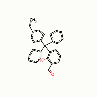 C=Cc1ccc(C(c2ccccc2)(c2ccccc2)c2cccc(C=O)c2O)cc1